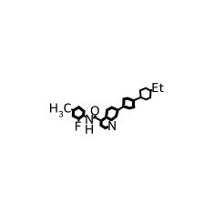 CCC1CCC(c2ccc(-c3ccc4c(C(=O)Nc5ccc(C)cc5F)ccnc4c3)cc2)CC1